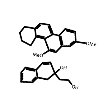 COc1ccc2c(c1)cc(OC)c1c3c(ccc12)CCCC3.OCCC1(O)C=Cc2ccccc2C1